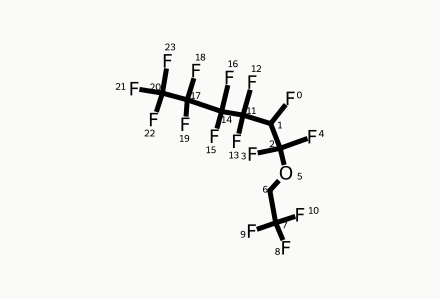 FC(C(F)(F)OCC(F)(F)F)C(F)(F)C(F)(F)C(F)(F)C(F)(F)F